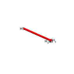 C[Si](C)(Cl)CCCCCCCCCCCCCCCCCCCCCCCCCCCCCCCCCCCCCCCS